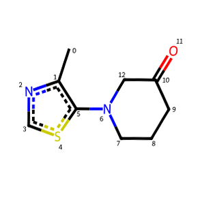 Cc1ncsc1N1CCCC(=O)C1